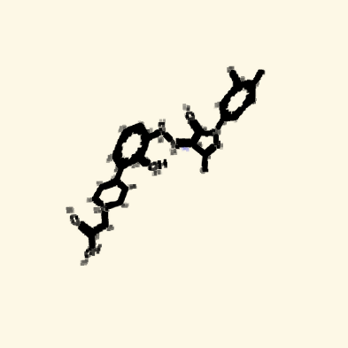 CC1=NN(c2ccc(C)c(C)c2)C(=O)/C1=N\Nc1cccc(C2=CCN(CC(=O)O)CC2)c1O